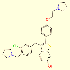 Oc1ccc2c(Cc3ccc(CN4CCCC4)c(Cl)c3)c(-c3ccc(OCCN4CCCC4)cc3)sc2c1